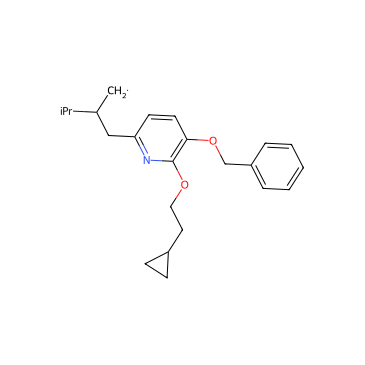 [CH2]C(Cc1ccc(OCc2ccccc2)c(OCCC2CC2)n1)C(C)C